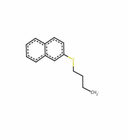 [CH2]CCCSc1ccc2ccccc2c1